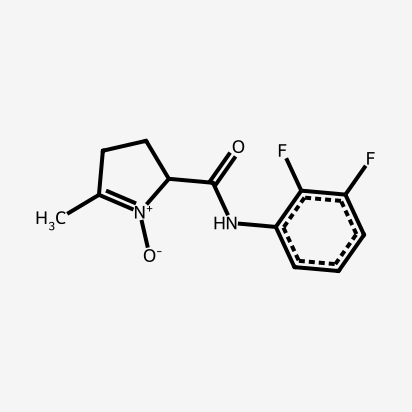 CC1=[N+]([O-])C(C(=O)Nc2cccc(F)c2F)CC1